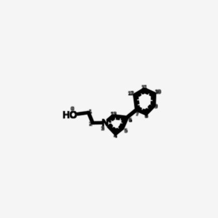 OCCn1ccc(-c2ccccc2)c1